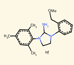 COCc1ccccc1N1CCN(c2c(C)cc(C)cc2C)C1N.[Hf]